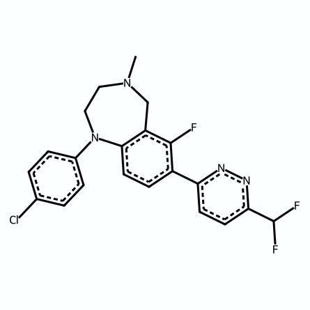 CN1CCN(c2ccc(Cl)cc2)c2ccc(-c3ccc(C(F)F)nn3)c(F)c2C1